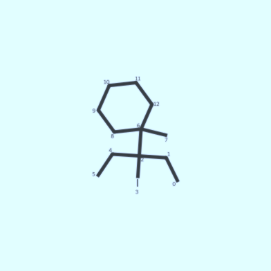 CCC(I)(CC)C1(C)CCCCC1